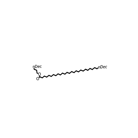 CCCCCCCCCCCCCCCCCCCCCCCCCCCCCCCCCCCC(=O)OCCCCCCCCCCCCC